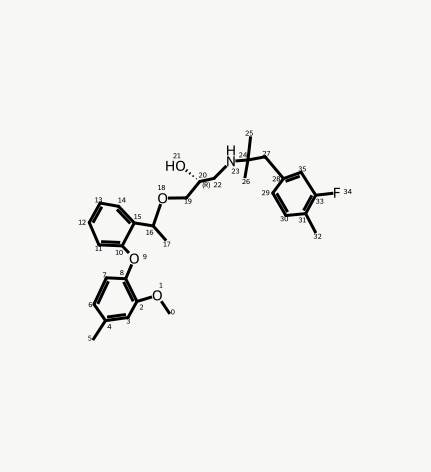 COc1cc(C)ccc1Oc1ccccc1C(C)OC[C@H](O)CNC(C)(C)Cc1ccc(C)c(F)c1